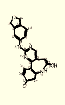 OC1Cc2cnc(Nc3ccc4c(c3)COC4)nc2-c2ccc(Cl)cc2N1